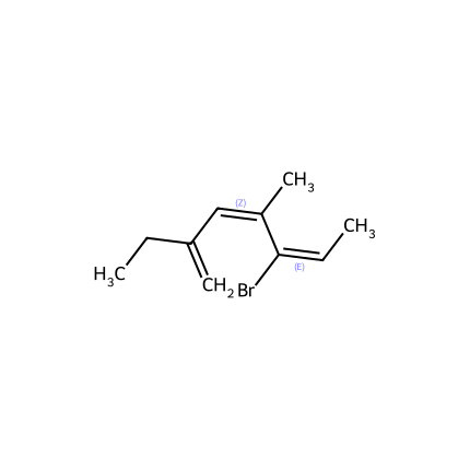 C=C(/C=C(C)\C(Br)=C/C)CC